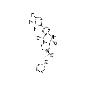 O=C1Nc2ccc(-c3ccc(F)c(F)c3F)cc2C(=O)N2CCN(C(=O)COc3ccccc3)CC12